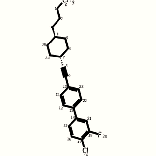 CCCC[C@H]1CC[C@H](C#Cc2ccc(-c3ccc(Cl)c(F)c3)cc2)CC1